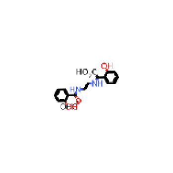 O=COC(NCCNC(C(=O)O)c1ccccc1O)c1ccccc1O